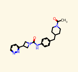 CC(=O)N1CCC(Cc2ccc(NC(=O)N3CC(c4cccnn4)C3)cc2)CC1